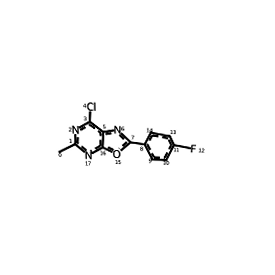 Cc1nc(Cl)c2nc(-c3ccc(F)cc3)oc2n1